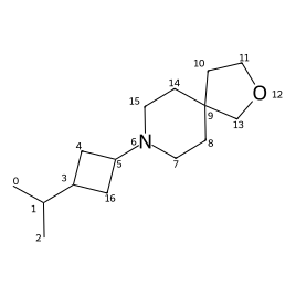 CC(C)C1CC(N2CCC3(CCOC3)CC2)C1